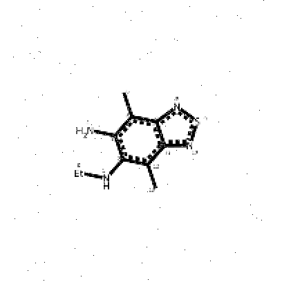 CCNc1c(N)c(C)c2nsnc2c1C